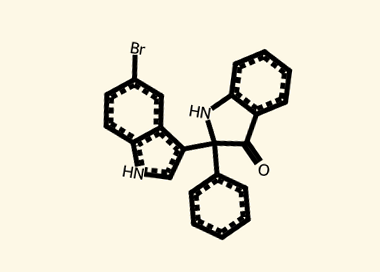 O=C1c2ccccc2NC1(c1ccccc1)c1c[nH]c2ccc(Br)cc12